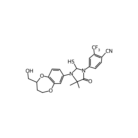 CC1(C)C(=O)N(c2ccc(C#N)c(C(F)(F)F)c2)C(S)N1c1ccc2c(c1)OCCC(CO)O2